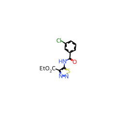 CCOC(=O)c1nnsc1NC(=O)c1cccc(Cl)c1